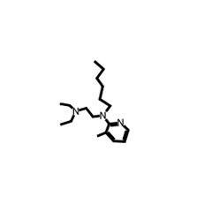 CCCCCCN(CCN(CC)CC)c1ncccc1C